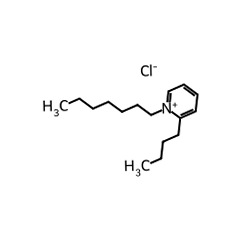 CCCCCCC[n+]1ccccc1CCCC.[Cl-]